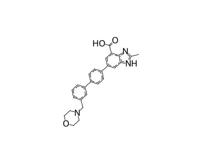 Cc1nc2c(C(=O)O)cc(-c3ccc(-c4cccc(CN5CCOCC5)c4)cc3)cc2[nH]1